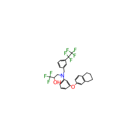 OC(CN(Cc1cccc(C(F)(F)C(F)(F)F)c1)c1cccc(Oc2ccc3c(c2)CCCC3)c1)C(F)(F)F